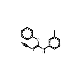 Cc1cccc(N/C(=N/C#N)Oc2ccccc2)c1